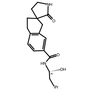 CC(C)C[C@@H](O)NC(=O)c1ccc2c(c1)CC1(CCNC1=O)CC2